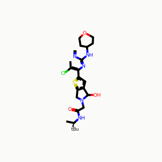 C=N/C(=N\C(=C(/C)Cl)c1cc2c(s1)CN(CC(=O)N[C@H](C)C(C)(C)C)C2O)NC1CCOCC1